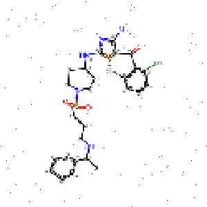 CC(NCCCS(=O)(=O)N1CCC(Nc2nc(N)c(C(=O)c3c(F)cccc3F)s2)CC1)c1ccccc1